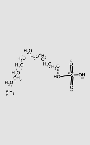 O.O.O.O.O.O.O.O.O.O.O=S(=O)(O)O.[AlH3]